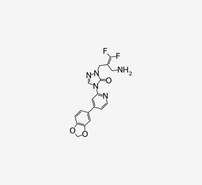 NCC(Cn1ncn(-c2cc(-c3ccc4c(c3)OCO4)ccn2)c1=O)=C(F)F